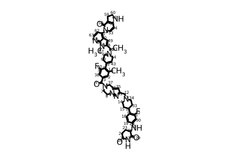 Cc1cc(C(=O)N2CCn3nc(CN4CCC(c5ccc(NC6CCC(=O)NC6=O)cc5F)CC4)cc3C2)cc(F)c1C1=CCN([C@@H](C)c2cc3c(-n4ccc5c(c4=O)CCN5)ccnc3n2C)CC1